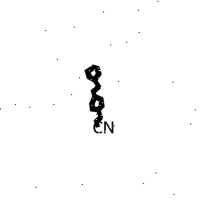 N#CC=Cc1ccc(C=Cc2ccccc2)cc1